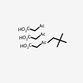 CC(=O)CC(=O)O.CC(=O)CC(=O)O.CC(=O)CC(=O)O.CCC(C)(C)C